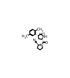 Cc1ccc(C)c([C@@H]2CN[C@H](C(=O)N3CCC[C@H]3C#N)C2)c1.Cl